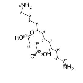 NCCCCCCCCCCCCN.O=C(O)CCC(=O)O